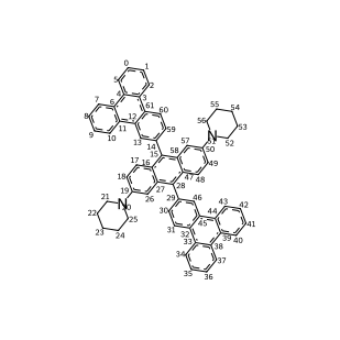 c1ccc2c(c1)c1ccccc1c1cc(-c3c4ccc(N5CCCCC5)cc4c(-c4ccc5c6ccccc6c6ccccc6c5c4)c4ccc(N5CCCCC5)cc34)ccc21